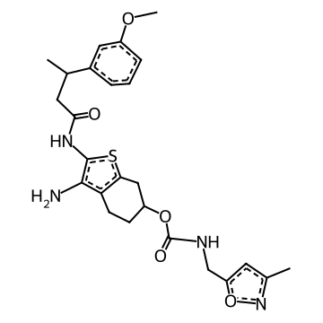 COc1cccc(C(C)CC(=O)Nc2sc3c(c2N)CCC(OC(=O)NCc2cc(C)no2)C3)c1